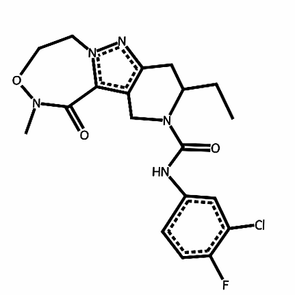 CCC1Cc2nn3c(c2CN1C(=O)Nc1ccc(F)c(Cl)c1)C(=O)N(C)OCC3